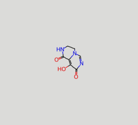 O=C1NCCn2cnc(=O)c(O)c21